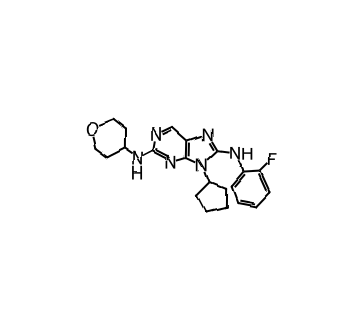 Fc1ccccc1Nc1nc2cnc(NC3CCOCC3)nc2n1C1CCCC1